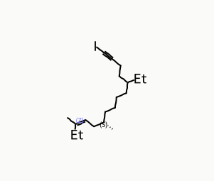 CC/C(C)=C\C[C@@H](C)CCCCC(CC)CCC#CI